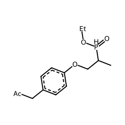 CCO[PH](=O)C(C)COc1ccc(CC(C)=O)cc1